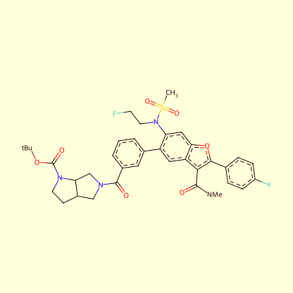 CNC(=O)c1c(-c2ccc(F)cc2)oc2cc(N(CCF)S(C)(=O)=O)c(-c3cccc(C(=O)N4CC5CCN(C(=O)OC(C)(C)C)C5C4)c3)cc12